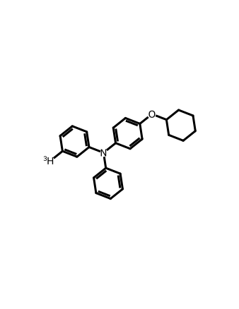 [3H]c1cccc(N(c2ccccc2)c2ccc(OC3CCCCC3)cc2)c1